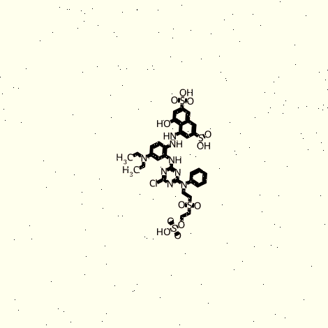 CCN(CC)c1ccc(NNc2cc(S(=O)O)cc3cc(S(=O)(=O)O)cc(O)c23)c(Nc2nc(Cl)nc(N(CCS(=O)(=O)CCOS(=O)(=O)O)c3ccccc3)n2)c1